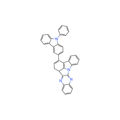 C1=C(c2ccc3c(c2)c2ccccc2n3-c2ccccc2)c2c3n(c4ccccc24)-c2nc4ccccc4nc2C3C1